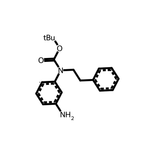 CC(C)(C)OC(=O)N(CCc1ccccc1)c1[c]ccc(N)c1